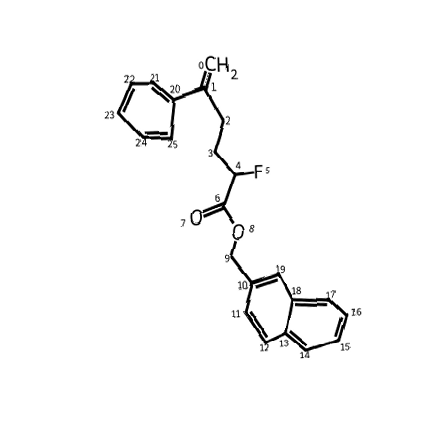 C=C(CCC(F)C(=O)OCc1ccc2ccccc2c1)c1ccccc1